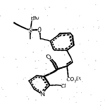 CCOC(=O)C(=Cc1cccc(CO[Si](C)(C)C(C)(C)C)c1)C(=O)c1cccnc1Cl